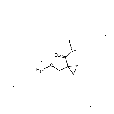 COCC1(C(=O)NI)CC1